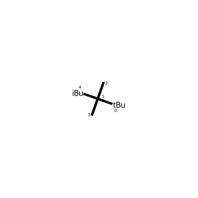 [CH2]C(C)(C)C(C)(C)C(C)CC